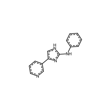 c1ccc(Nc2nc(-c3cccnc3)c[nH]2)cc1